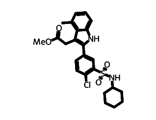 COC(=O)Cc1c(-c2ccc(Cl)c(S(=O)(=O)NC3CCCCC3)c2)[nH]c2cccc(C)c12